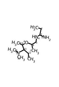 CCC(N)NCC(C)OC(C)C(CC)N(C)C